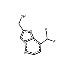 OCc1cc2nccc(C(F)F)c2s1